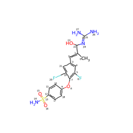 C/C(=C\c1cc(F)c(Oc2ccc(S(N)(=O)=O)cc2)c(F)c1)C(O)N=C(N)N